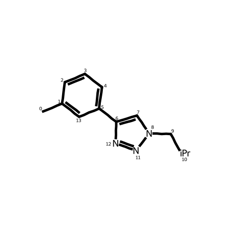 Cc1cccc(-c2cn(CC(C)C)nn2)c1